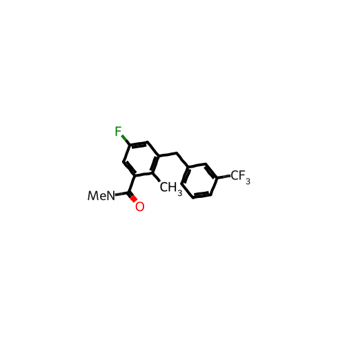 CNC(=O)c1cc(F)cc(Cc2cccc(C(F)(F)F)c2)c1C